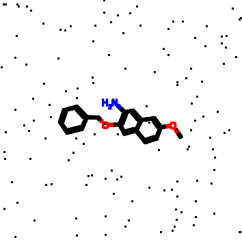 COc1ccc2cc(OCc3ccccc3)c(N)cc2c1